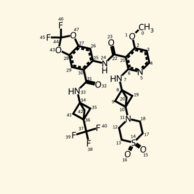 COc1ccnc(NC23CC(N4CCS(=O)(=O)CC4)(C2)C3)c1C(=O)Nc1cc2c(cc1C(=O)NC13CC(C(F)(F)F)(C1)C3)OC(F)(F)O2